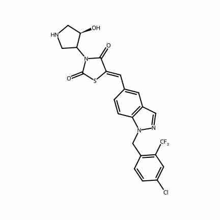 O=C1S/C(=C\c2ccc3c(cnn3Cc3ccc(Cl)cc3C(F)(F)F)c2)C(=O)N1C1CNC[C@H]1O